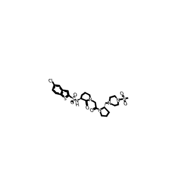 CS(=O)(=O)N1CCN(C[C@@H]2CCCN2C(=O)CN2CCC[C@H](NS(=O)(=O)c3cc4cc(Cl)ccc4s3)C2=O)CC1